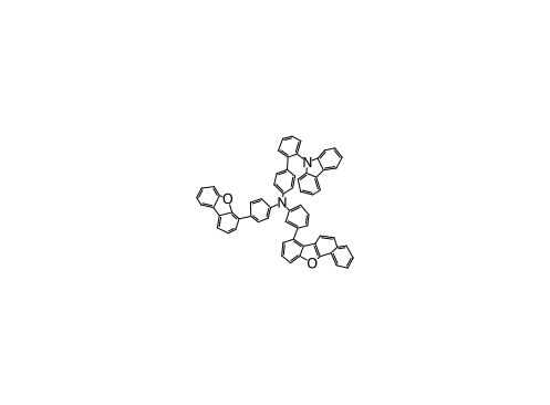 c1cc(-c2cccc3oc4c5ccccc5ccc4c23)cc(N(c2ccc(-c3ccccc3-n3c4ccccc4c4ccccc43)cc2)c2ccc(-c3cccc4c3oc3ccccc34)cc2)c1